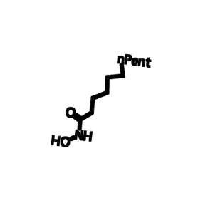 CCCCCCCCCCC(=O)NO